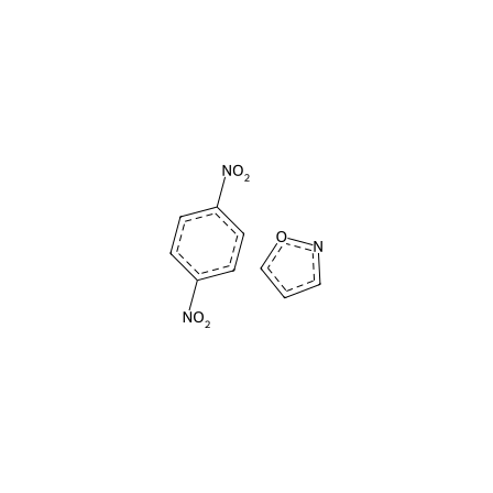 O=[N+]([O-])c1ccc([N+](=O)[O-])cc1.c1cnoc1